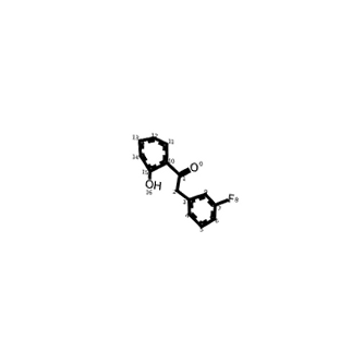 O=C(Cc1cccc(F)c1)c1ccccc1O